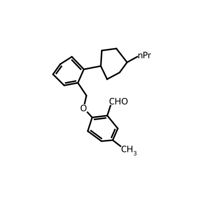 CCCC1CCC(c2ccccc2COc2ccc(C)cc2C=O)CC1